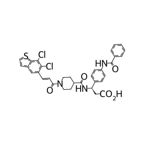 O=C(O)C[C@@H](NC(=O)C1CCN(C(=O)/C=C/c2cc3ccsc3c(Cl)c2Cl)CC1)c1ccc(NC(=O)c2ccccc2)cc1